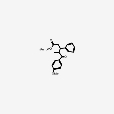 CCCCCOC(=O)CC(c1ccccc1)C(C)C(=O)c1ccc(OC)cc1